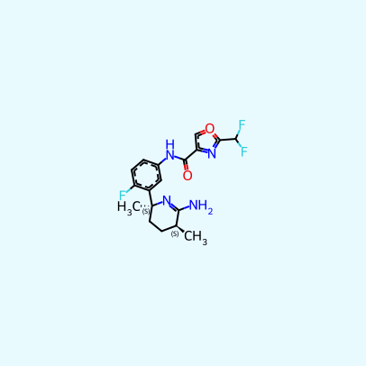 C[C@H]1CC[C@@](C)(c2cc(NC(=O)c3coc(C(F)F)n3)ccc2F)N=C1N